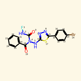 O=C(NF)N(Nc1nnc(-c2ccc(Br)cc2)s1)C(=O)c1ccccc1